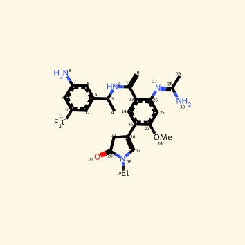 C=C(NC(C)c1cc(N)cc(C(F)(F)F)c1)c1cc(C2=CN(CC)C(=O)C2)c(OC)cc1/N=C(/C)N